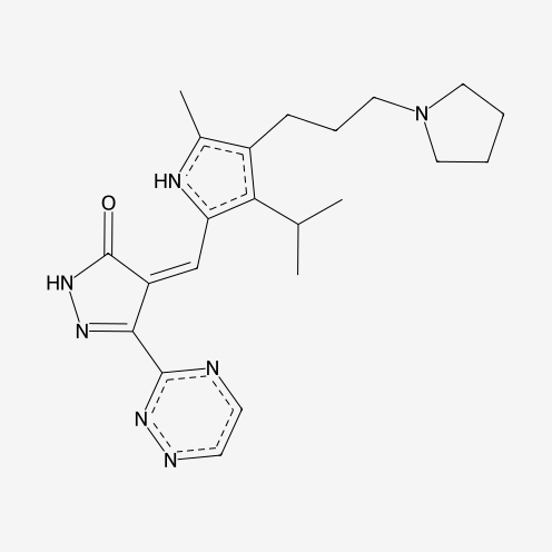 Cc1[nH]c(C=C2C(=O)NN=C2c2nccnn2)c(C(C)C)c1CCCN1CCCC1